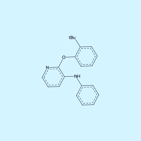 CC(C)(C)c1ccccc1Oc1ncccc1Nc1ccccc1